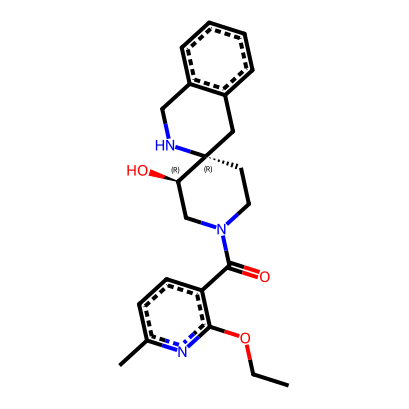 CCOc1nc(C)ccc1C(=O)N1CC[C@]2(Cc3ccccc3CN2)[C@H](O)C1